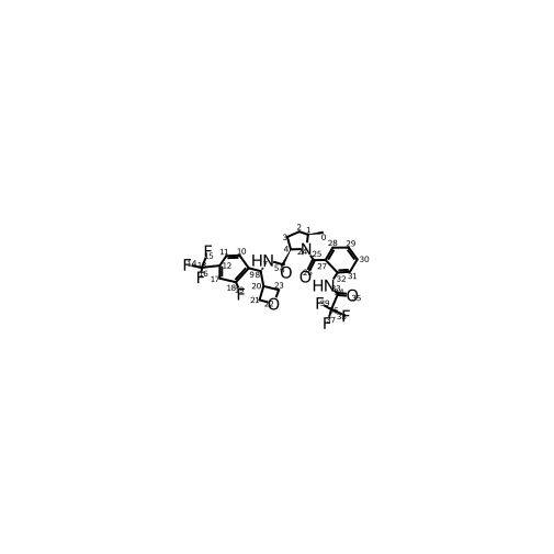 C[C@@H]1CC[C@H](C(=O)N[C@@H](c2ccc(C(F)(F)F)cc2F)C2COC2)N1C(=O)c1ccccc1NC(=O)C(F)(F)F